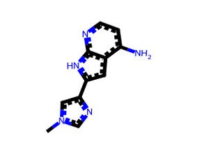 Cn1cnc(-c2cc3c(N)ccnc3[nH]2)c1